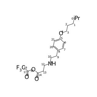 CC(C)CCCOc1ccc(CCNCCC(=O)OC(=O)C(F)(F)F)cc1